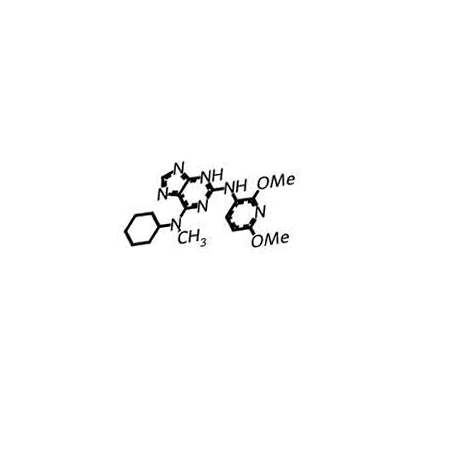 COc1ccc(Nc2nc(N(C)C3CCCCC3)c3ncnc-3[nH]2)c(OC)n1